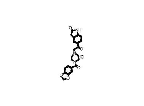 Cl.O=C1Cc2cc(C(=O)CN3CCN(C(=O)c4ccc5c(c4)OCO5)CC3)ccc2N1